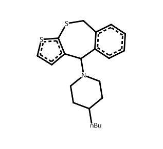 CCCCC1CCN(C2c3ccccc3CSc3sccc32)CC1